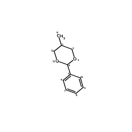 CC1COC(c2ccccc2)OC1